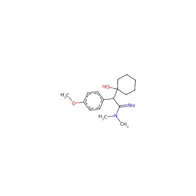 COc1ccc(C(C(=N)N(C)C)C2(O)CCCCC2)cc1